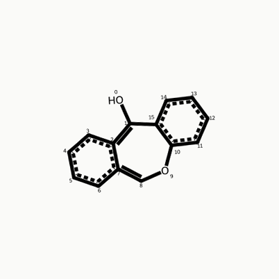 OC1=c2ccccc2=COc2ccccc21